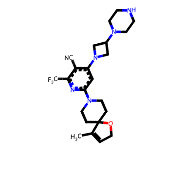 CC1=CCOC12CCN(c1cc(N3CC(N4CCNCC4)C3)c(C#N)c(C(F)(F)F)n1)CC2